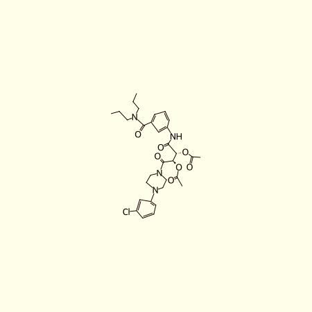 CCCN(CCC)C(=O)c1cccc(NC(=O)[C@H](OC(C)=O)[C@@H](OC(C)=O)C(=O)N2CCN(c3cccc(Cl)c3)CC2)c1